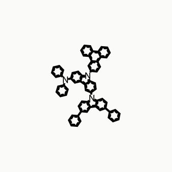 c1ccc(-c2ccc3c(c2)c2cc(-c4ccccc4)ccc2n3-c2ccc3c(c2)c2cc(N(c4ccccc4)c4ccccc4)ccc2n3-c2ccc3c4ccccc4c4ccccc4c3c2)cc1